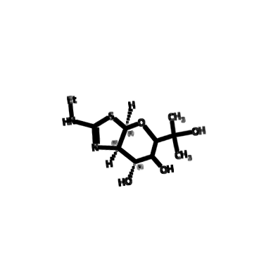 CCNC1=N[C@H]2[C@H](OC(C(C)(C)O)C(O)[C@@H]2O)S1